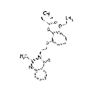 CCOc1cccc(OCCn2c(C)nc3ccccc3c2=O)c1OC(=O)CC